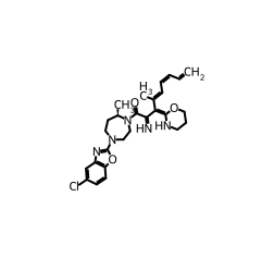 C=C\C=C/C=C(C)/C(C(=N)C(=O)N1CCN(c2nc3cc(Cl)ccc3o2)CC[C@H]1C)=C1/NCCCO1